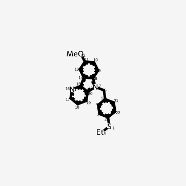 CCSc1ccc(Cn2c3ccc(OC)cc3c3ncccc32)cc1